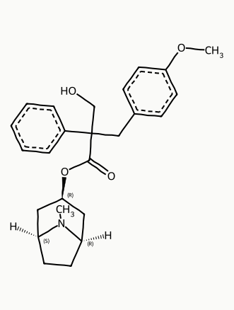 COc1ccc(CC(CO)(C(=O)O[C@H]2C[C@H]3CC[C@@H](C2)N3C)c2ccccc2)cc1